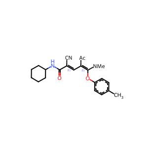 CN/C(Oc1ccc(C)cc1)=C(/C=C(\C#N)C(=O)NC1CCCCC1)C(C)=O